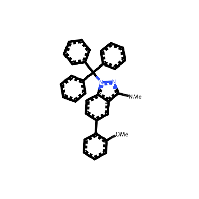 CNc1nn(C(c2ccccc2)(c2ccccc2)c2ccccc2)c2ccc(-c3ccccc3OC)cc12